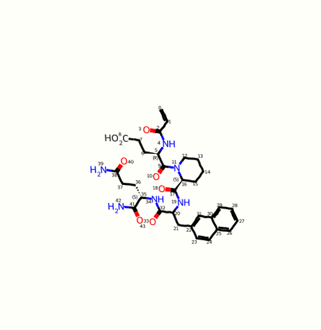 C=CC(=O)N[C@H](CCC(=O)O)C(=O)N1CCCC[C@H]1C(=O)NC(Cc1ccc2ccccc2c1)C(=O)N[C@@H](CCC(N)=O)C(N)=O